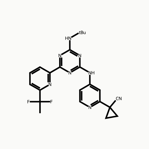 CC(C)(C)Nc1nc(Nc2ccnc(C3(C#N)CC3)c2)nc(-c2cccc(C(C)(F)F)n2)n1